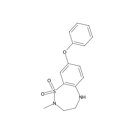 CN1CCNc2ccc(Oc3ccccc3)cc2S1(=O)=O